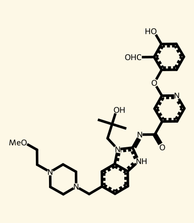 COCCN1CCN(Cc2ccc3[nH]/c(=N\C(=O)c4ccnc(Oc5cccc(O)c5C=O)c4)n(CC(C)(C)O)c3c2)CC1